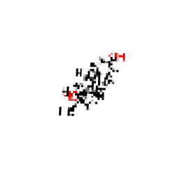 C#C[C@]1(O)CC[C@H]2[C@@H]3CC=C4C=C(O)CC[C@]4(C)[C@H]3CC[C@@]21C